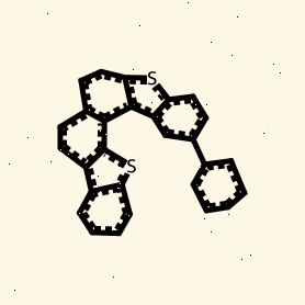 c1ccc(-c2ccc3sc4ccc5ccc6c7ccccc7sc6c5c4c3c2)cc1